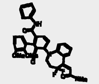 CNC(=O)C=C1c2ccccc2N(C2C=CC(C(=O)Nc3ccccc3)=C(c3cccc(OC)c3OC)C2=C=O)CCC1(F)F